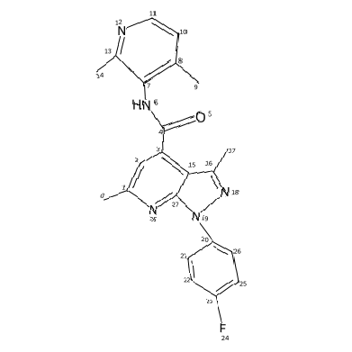 Cc1cc(C(=O)Nc2c(C)ccnc2C)c2c(C)nn(-c3ccc(F)cc3)c2n1